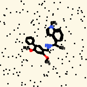 COc1cc(OC)c(-c2ccccc2)cc1CNC(C)c1cccc2c1ccn2C